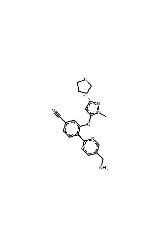 Cn1nc([C@@H]2CCOC2)cc1Oc1cc(C#N)ccc1-c1ncc(CN)cn1